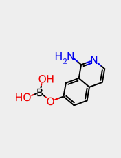 Nc1nccc2ccc(OB(O)O)cc12